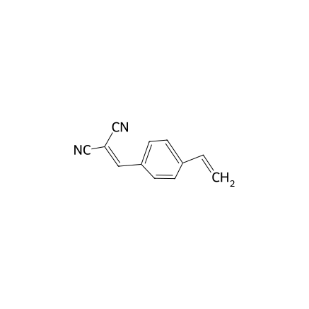 C=Cc1ccc(C=C(C#N)C#N)cc1